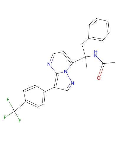 CC(=O)NC(C)(Cc1ccccc1)c1ccnc2c(-c3ccc(C(F)(F)F)cc3)cnn12